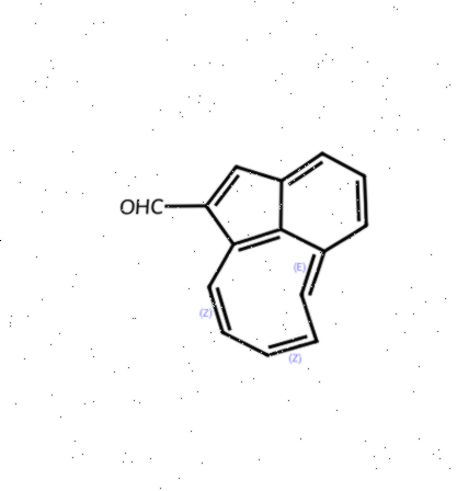 O=CC1=Cc2ccc\c3c2=C1\C=C/C=C\C=3